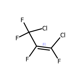 F/C(Cl)=C(\F)C(F)(F)Cl